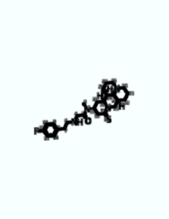 CN(C(=O)CNCCc1ccc(F)cc1)[C@@H]1CC(=S)N2C[C@@H]3CCCN4CCC[C@@H]([C@H]34)[C@H]2C1